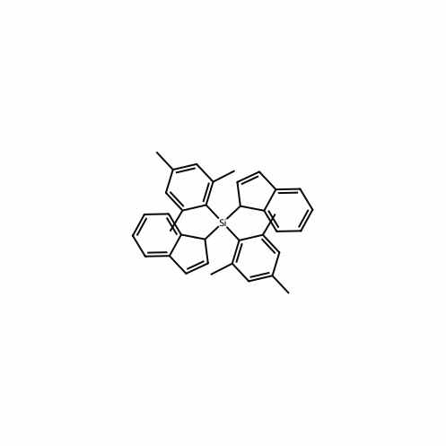 Cc1cc(C)c([Si](c2c(C)cc(C)cc2C)(C2C=Cc3ccccc32)C2C=Cc3ccccc32)c(C)c1